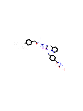 COc1ccc(CC(=O)NC(=N)N[C@H](Cc2ccccc2)C(=O)NCc2ccc(-c3nnc(O)o3)cc2)cc1OC